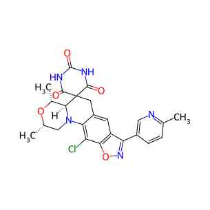 Cc1ccc(-c2noc3c(Cl)c4c(cc23)CC2(C(=O)NC(=O)NC2=O)[C@@H]2[C@@H](C)O[C@@H](C)CN42)cn1